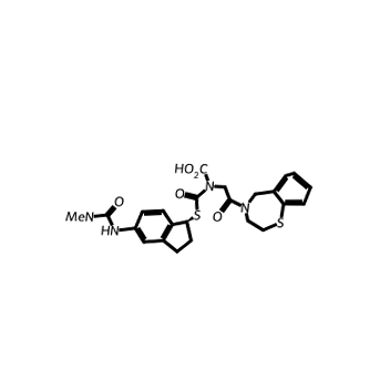 CNC(=O)Nc1ccc2c(c1)CC[C@@H]2SC(=O)N(CC(=O)N1CCSc2ccccc2C1)C(=O)O